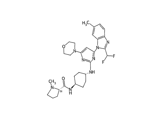 Cc1ccc2nc(C(F)F)n(-c3cc(N4CCOCC4)nc(N[C@H]4CC[C@H](NC(=O)[C@@H]5CCCN5C)CC4)n3)c2c1